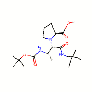 COC(=O)[C@@H]1CCCN1[C@H](C(=O)NC(C)(C)C)[C@H](C)NC(=O)OC(C)(C)C